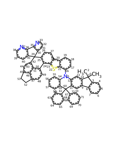 CC1(C)c2ccccc2-c2cc3c(cc21)N(c1cccc2c1sc1c4c(ccc12)C1(c2cccnc2-c2ncccc21)c1ccc2c5c(ccc-4c15)CC2)c1ccccc1C3(c1ccccc1)c1ccccc1